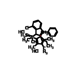 CCCC1=C(c2ccccc2)c2cccc(Cl)c2[CH]1[Zr]([CH3])([CH3])(=[SiH2])[C]1=C(C)C(C)=C(C)C1C.Cl.Cl